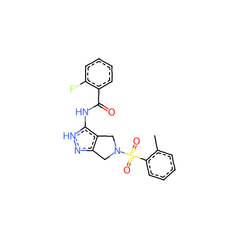 Cc1ccccc1S(=O)(=O)N1Cc2n[nH]c(NC(=O)c3ccccc3F)c2C1